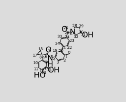 Cc1ccc(NC(=O)C2(c3ccc(O)c(O)c3)CC2)cc1-c1ccc(C(=O)N2CC[C@@H](O)C2)cc1